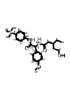 CCC(CCO)CC(=O)NC(C(=O)Nc1ccc([Si](C)(C)C)cc1)c1ccc(OC)cc1